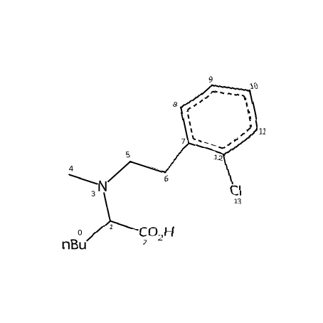 CCCCC(C(=O)O)N(C)CCc1ccccc1Cl